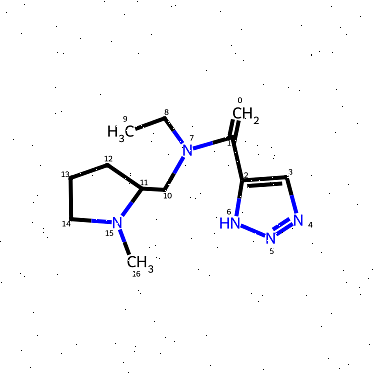 C=C(c1cnn[nH]1)N(CC)CC1CCCN1C